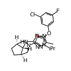 Cc1noc(N2C[C@H]3CC[C@@H](C2)[C@@H]3Nc2nc(Oc3cc(F)cc(Cl)c3)n(C(C)C)n2)n1